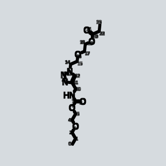 CCCOCCOC(=O)NCc1cn(CCOCCOC(=O)CC)nn1